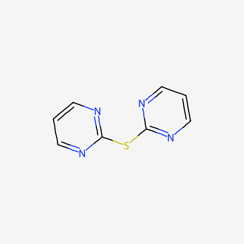 c1cnc(Sc2ncccn2)nc1